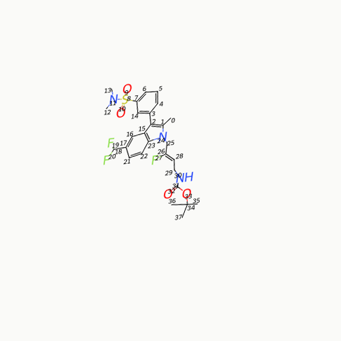 Cc1c(-c2cccc(S(=O)(=O)N(C)C)c2)c2cc(C(F)F)ccc2n1C/C(F)=C/CNC(=O)OC(C)(C)C